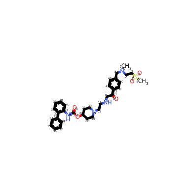 CN(CCS(C)(=O)=O)Cc1ccc(C(=O)CNCCN2CCC(OC(=O)Nc3ccccc3-c3ccccc3)CC2)cc1